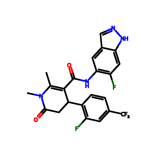 CC1=C(C(=O)Nc2cc3cn[nH]c3cc2F)C(c2ccc(C(F)(F)F)cc2F)CC(=O)N1C